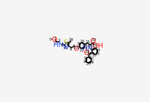 COCCNc1nc(CCOc2ccc(CC(Nc3ccccc3C(=O)c3ccccc3)C(=O)O)cc2)c(C)s1